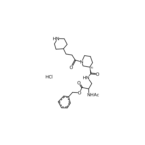 CC(=O)NC(CNC(=O)[C@@H]1CCCN(C(=O)CCC2CCNCC2)C1)C(=O)OCc1ccccc1.Cl